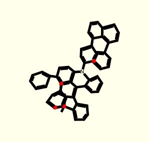 CC1(C)c2ccccc2-c2c(-c3ccccc3N(c3ccc(-c4cccc5cccc(-c6ccccc6)c45)cc3)c3ccc(-c4ccccc4)c(-c4ccccc4)c3)cccc21